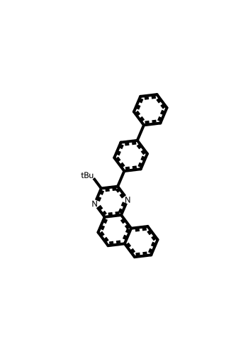 CC(C)(C)c1nc2ccc3ccccc3c2nc1-c1ccc(-c2ccccc2)cc1